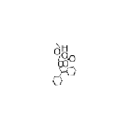 CCOCCOCC(c1ccccc1)c1ccccc1OC(=O)O